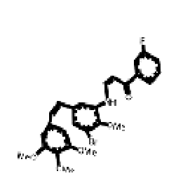 COc1cc(/C=C\c2cc(Br)c(OC)c(N/C=C\C(=O)c3cccc(F)c3)c2)cc(OC)c1OC